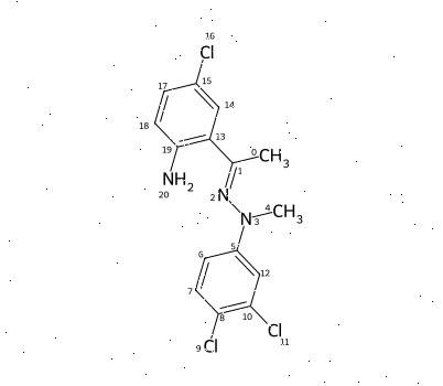 C/C(=N\N(C)c1ccc(Cl)c(Cl)c1)c1cc(Cl)ccc1N